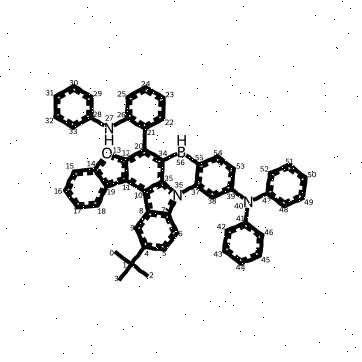 CC(C)(C)c1ccc2c(c1)c1c3c(oc4ccccc43)c(-c3ccccc3Nc3ccccc3)c3c1n2-c1cc(N(c2ccccc2)c2ccccc2)ccc1B3